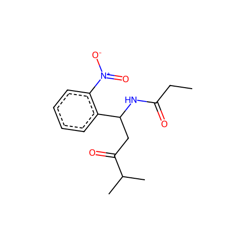 CCC(=O)NC(CC(=O)C(C)C)c1ccccc1[N+](=O)[O-]